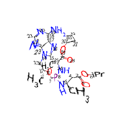 CC(C)OC(=O)C[C@@H](C)NP(CO[C@H](C)Cn1cnc2c(N)ncnc21)N[C@H](C)C(=O)OC1CCC1